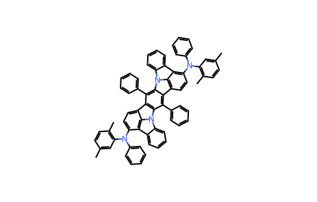 Cc1ccc(C)c(N(c2ccccc2)c2ccc3c4c(-c5ccccc5)c5c(c(-c6ccccc6)c4n4c6ccccc6c2c34)c2ccc(N(c3ccccc3)c3cc(C)ccc3C)c3c4ccccc4n5c23)c1